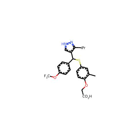 Cc1cc(SC(c2ccc(OC(F)(F)F)cc2)c2c[nH]nc2C(C)C)ccc1OCC(=O)O